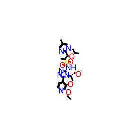 CCOc1nccc2c1OC[C@@H](COC)n1c(NS(=O)(=O)C(C)C(OC(C)C)c3ncc(C)cn3)nnc1-2